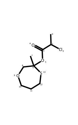 CC(Cl)C(=O)OC1(C)COCCCS1